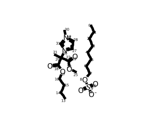 CCCCCCCCOS(=O)(=O)[O-].CCCCOC(=O)C(C)(C(=O)OC)n1cc[n+](C)c1